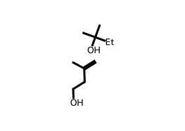 C=C(C)CCO.CCC(C)(C)O